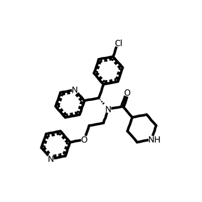 O=C(C1CCNCC1)N(CCOc1cccnc1)[C@@H](c1ccc(Cl)cc1)c1ccccn1